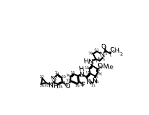 C=CC(=O)N1CCC(Nc2cc3c(Nc4ccc(Oc5ccnc(NC6CC6)c5)cc4F)ncnc3cc2OC)CC1